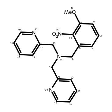 COc1cccc(CN(Cc2ccccn2)Cc2ccccn2)c1[N+](=O)[O-]